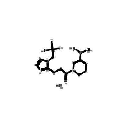 CN(C)C1CCCN(C(=O)CCc2nccn2CC(F)(F)F)C1.Cl